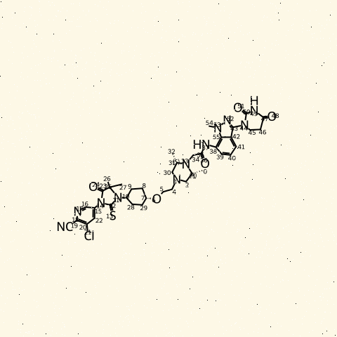 C[C@@H]1CN(CCO[C@H]2CC[C@H](N3C(=S)N(c4cnc(C#N)c(Cl)c4)C(=O)C3(C)C)CC2)C[C@H](C)N1CC(=O)Nc1cccc2c(N3CCC(=O)NC3=O)nn(C)c12